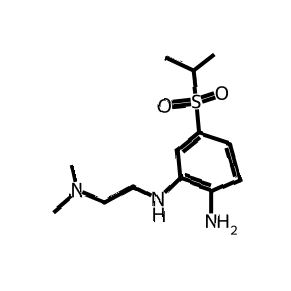 CC(C)S(=O)(=O)c1ccc(N)c(NCCN(C)C)c1